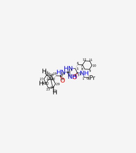 CC(C)CNC(=O)[C@@H](CC1CCCCC1)NC(=N)NC(=O)C[C@]12C[C@H]3C[C@H](C[C@H](C3)C1)C2